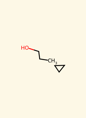 C1CC1.CCCO